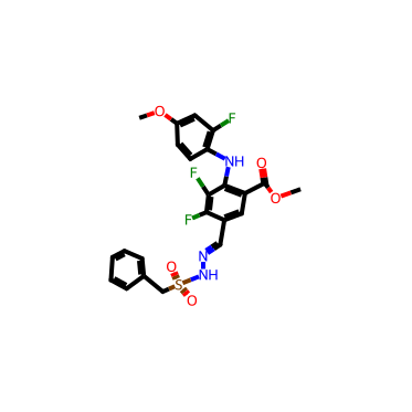 COC(=O)c1cc(/C=N/NS(=O)(=O)Cc2ccccc2)c(F)c(F)c1Nc1ccc(OC)cc1F